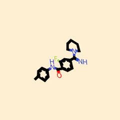 Cc1ccc(NC(=O)c2ccc(C(=N)N3CCCCC3)cc2F)cc1